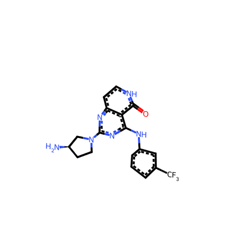 N[C@@H]1CCN(c2nc(Nc3cccc(C(F)(F)F)c3)c3c(=O)[nH]ccc3n2)C1